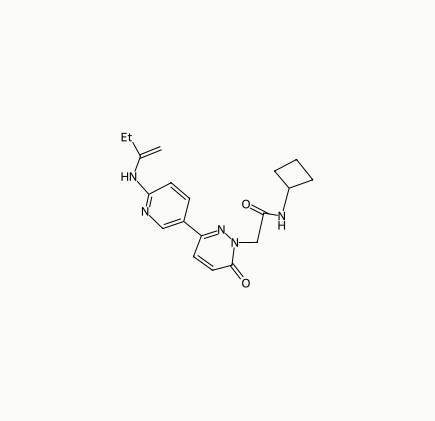 C=C(CC)Nc1ccc(-c2ccc(=O)n(CC(=O)NC3CCC3)n2)cn1